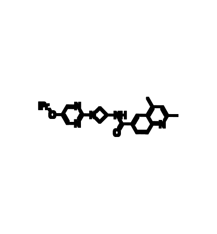 Cc1cc(C)c2cc(C(=O)NC3CN(c4ncc(OC(C)C)cn4)C3)ccc2n1